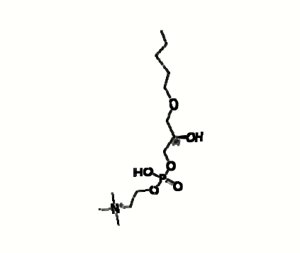 CCCCCOC[C@@H](O)COP(=O)(O)OCC[N+](C)(C)C